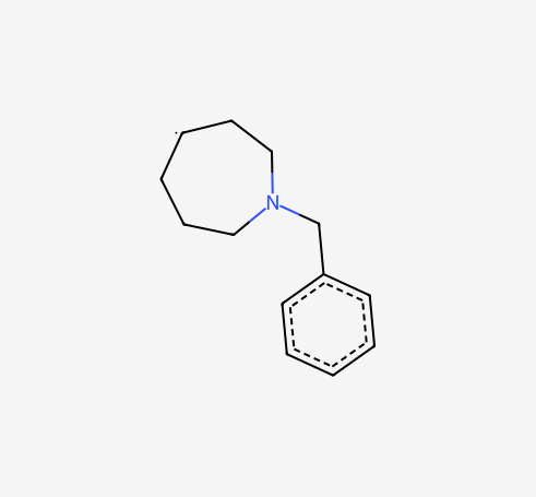 [CH]1CCCN(Cc2ccccc2)CC1